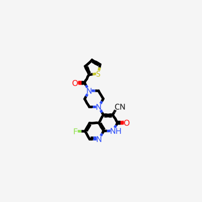 N#Cc1c(N2CCN(C(=O)c3cccs3)CC2)c2cc(F)cnc2[nH]c1=O